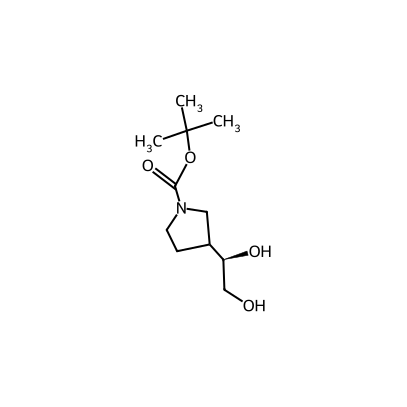 CC(C)(C)OC(=O)N1CCC([C@@H](O)CO)C1